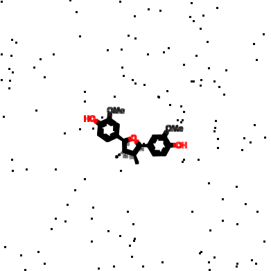 COc1cc([C@H]2O[C@@H](c3ccc(O)c(OC)c3)[C@@H](C)[C@@H]2C)ccc1O